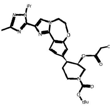 Cc1nc(-c2cn3c(n2)-c2ccc([C@@H]4CCN(C(=O)OC(C)(C)C)C[C@@H]4OC(=O)CCl)cc2OCC3)n(C(C)C)n1